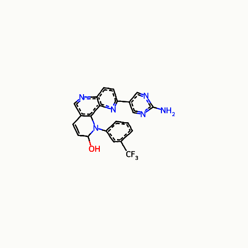 Nc1ncc(-c2ccc3ncc4c(c3n2)N(c2cccc(C(F)(F)F)c2)C(O)C=C4)cn1